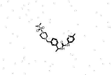 Cc1ccc(NC(=O)NC(C)c2cccc(CN3CCN(S(=O)(=O)N(C)C)CC3)c2)cn1